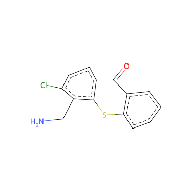 NCc1c(Cl)cccc1Sc1ccccc1C=O